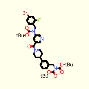 CC(C)(C)OC(=O)N(Cc1cccc(C2CCN(C(=O)c3cncc(N(Cc4ccc(Br)cc4F)C(=O)OC(C)(C)C)c3)CC2)c1)C(=O)OC(C)(C)C